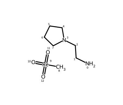 NCCN1CCCC1.[CH3][Re](=[O])(=[O])=[O]